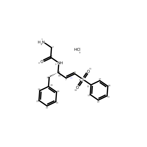 Cl.NCC(=O)N[C@H](/C=C/S(=O)(=O)c1ccccc1)Cc1ccccc1